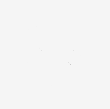 C1=C(c2ccccc2)CCC=C1N(c1ccc(-c2cc(-n3c4ccccc4c4ccccc43)cc3c2sc2ccccc23)cc1)c1cccc2oc3ccccc3c12